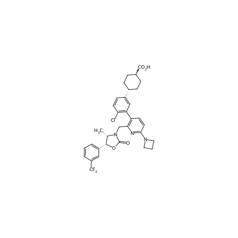 C[C@H]1[C@@H](c2cccc(C(F)(F)F)c2)OC(=O)N1Cc1nc(N2CCC2)ccc1-c1cc([C@H]2CC[C@H](C(=O)O)CC2)ccc1Cl